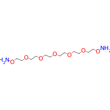 NOCCOCCOCCOCCOCCOCCON